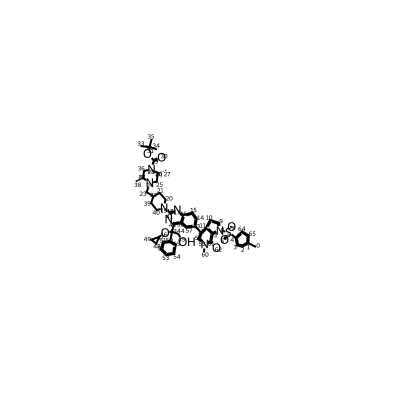 Cc1ccc(S(=O)(=O)n2ccc3c(-c4ccc5nc(N6CCC(CN7C[C@@H](C)N(C(=O)OC(C)(C)C)C[C@@H]7C)CC6)nc(C(CO)(OC6CC6)c6ccccc6)c5c4)cn(C)c(=O)c32)cc1